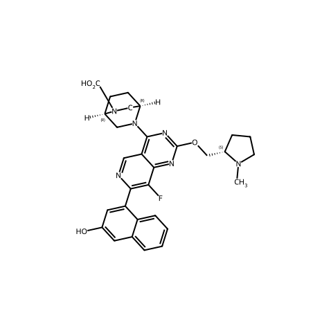 CN1CCC[C@H]1COc1nc(N2C[C@H]3CC[C@@H]2CN3C(=O)O)c2cnc(-c3cc(O)cc4ccccc34)c(F)c2n1